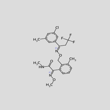 CNC(=O)/C(=N/OC)c1cccc(C)c1CO/N=C(\CC(F)(F)F)c1cc(C)cc(Cl)c1